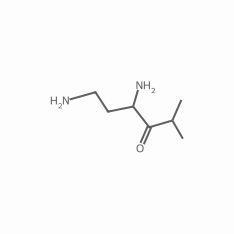 CC(C)C(=O)C(N)CCN